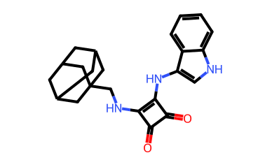 O=c1c(NCC23CC4CC(CC(C4)C2)C3)c(Nc2c[nH]c3ccccc23)c1=O